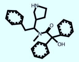 CN(C(=O)C(O)(c1ccccc1)c1ccccc1)C(Cc1ccccc1)C1CCNC1